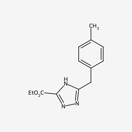 CCOC(=O)c1nnc(Cc2ccc(C)cc2)[nH]1